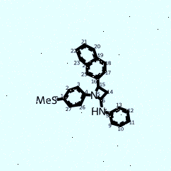 CSc1ccc(N2C(Nc3ccccc3)CC2c2ccc3ccccc3c2)cc1